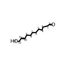 O=CCCCCCCCCC=CCO